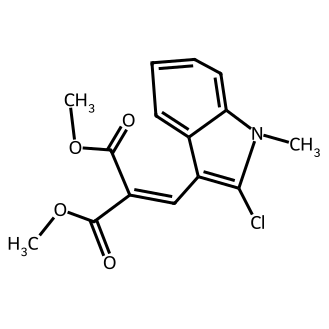 COC(=O)C(=Cc1c(Cl)n(C)c2ccccc12)C(=O)OC